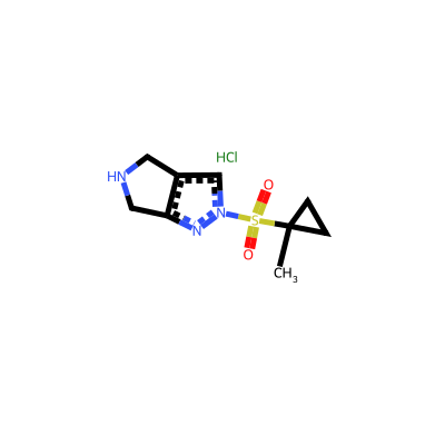 CC1(S(=O)(=O)n2cc3c(n2)CNC3)CC1.Cl